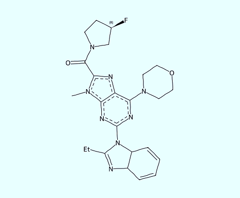 CCC1=NC2C=CC=CC2N1c1nc(N2CCOCC2)c2nc(C(=O)N3CC[C@@H](F)C3)n(C)c2n1